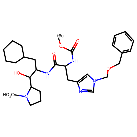 CC(C)(C)OC(=O)NC(Cc1cn(COCc2ccccc2)cn1)C(=O)NC(CC1CCCCC1)C(O)C1CCCN1C(=O)O